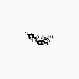 CC1=C[C@@](CF)(c2cc(NC(=O)c3ccc(Cl)cn3)ccc2F)N=C(N)O1